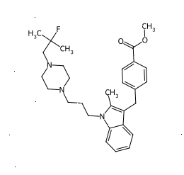 COC(=O)c1ccc(Cc2c(C)n(CCCN3CCN(CC(C)(C)F)CC3)c3ccccc23)cc1